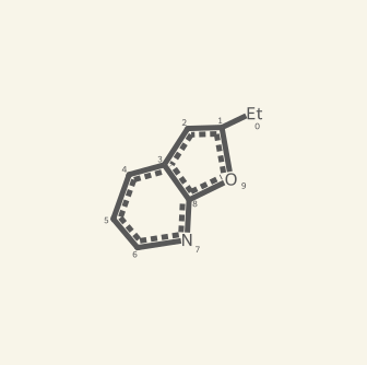 CCc1cc2cccnc2o1